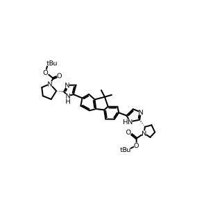 CC(C)(C)OC(=O)N1CCC[C@H]1c1ncc(-c2ccc3c(c2)C(C)(C)c2cc(-c4cnc([C@@H]5CCCN5C(=O)OC(C)(C)C)[nH]4)ccc2-3)[nH]1